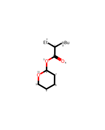 CCCCC(CC)C(=O)OC1CCCCO1